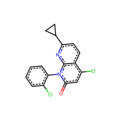 O=c1cc(Cl)c2ccc(C3CC3)nc2n1-c1ccccc1Cl